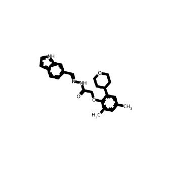 Cc1cc(C)c(OCC(=O)NN=Cc2ccc3cc[nH]c3c2)c(C2CCOCC2)c1